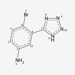 Nc1ccc(Br)c(-c2nnn[nH]2)c1